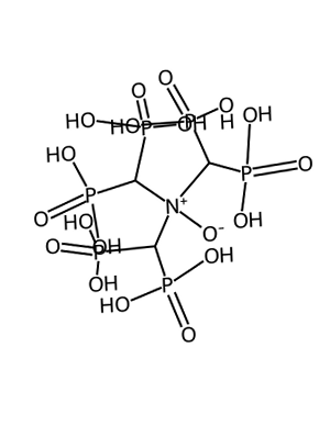 O=P(O)(O)C([N+]([O-])(C(P(=O)(O)O)P(=O)(O)O)C(P(=O)(O)O)P(=O)(O)O)P(=O)(O)O